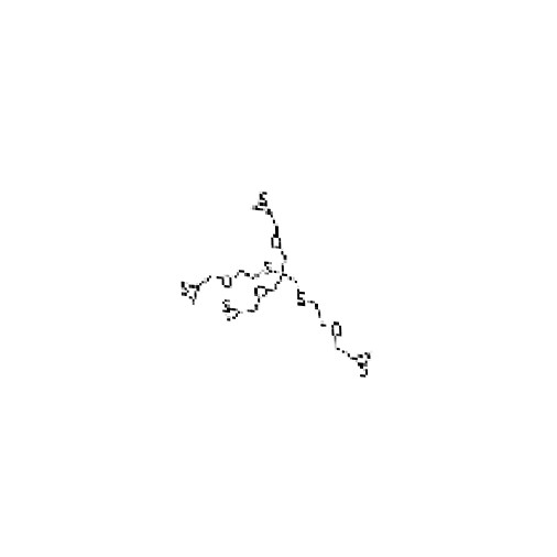 C(CSCC(COCC1CS1)(COCC1CS1)SCCOCC1CS1)OCC1CS1